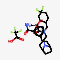 C[C@H](O)C(=O)N(CCN1C2CCC1CC(c1cccc(C(N)=O)c1)C2)CC1CCC(F)(F)CC1.O=C(O)C(F)(F)F